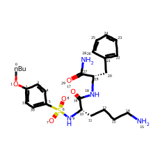 CCCCOc1ccc(S(=O)(=O)N[C@@H](CCCCN)C(=O)N[C@@H](Cc2ccccc2)C(N)=O)cc1